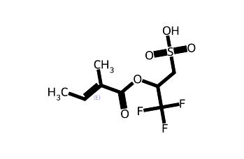 C/C=C(\C)C(=O)OC(CS(=O)(=O)O)C(F)(F)F